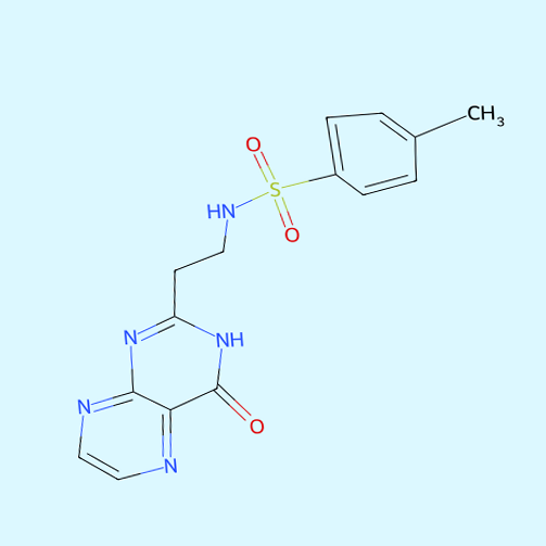 Cc1ccc(S(=O)(=O)NCCc2nc3nccnc3c(=O)[nH]2)cc1